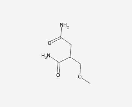 COCC(CC(N)=O)C(N)=O